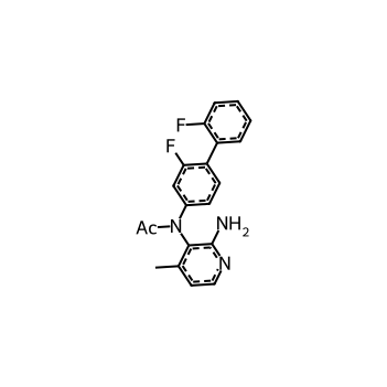 CC(=O)N(c1ccc(-c2ccccc2F)c(F)c1)c1c(C)ccnc1N